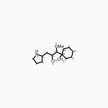 COC(C(Cl)CC1CCCN1)C1(C)CCCCC1